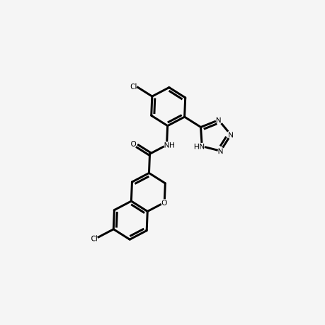 O=C(Nc1cc(Cl)ccc1-c1nnn[nH]1)C1=Cc2cc(Cl)ccc2OC1